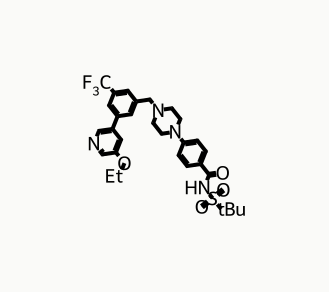 CCOc1cncc(-c2cc(CN3CCN(c4ccc(C(=O)NS(=O)(=O)C(C)(C)C)cc4)CC3)cc(C(F)(F)F)c2)c1